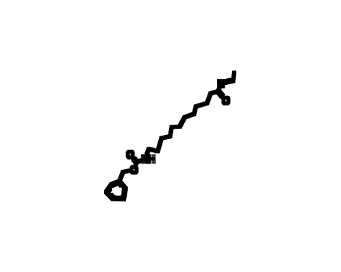 C/C=N/C(=O)CCCCCCCCCCCNC(=O)OCc1ccccc1